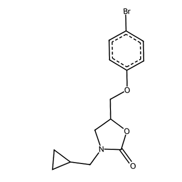 O=C1OC(COc2ccc(Br)cc2)CN1CC1CC1